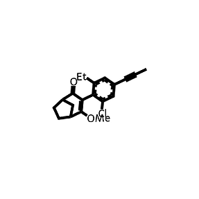 CC#Cc1cc(Cl)c(C2=C(OC)C3CCC(C3)C2=O)c(CC)c1